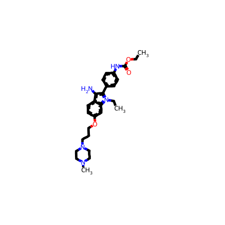 CCOC(=O)Nc1ccc(-c2c(N)c3ccc(OCCCN4CCN(C)CC4)cc3n2CC)cc1